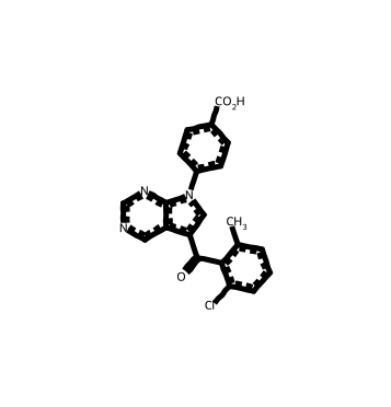 Cc1cccc(Cl)c1C(=O)c1cn(-c2ccc(C(=O)O)cc2)c2ncncc12